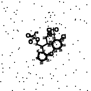 CS(=O)(=O)OCC1c2ccccc2Oc2ccc(Cl)cc2C1CNC=O